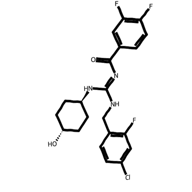 O=C(/N=C(/NCc1ccc(Cl)cc1F)N[C@H]1CC[C@H](O)CC1)c1ccc(F)c(F)c1